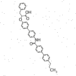 CCCc1ccc(-c2ccc(C(=O)Nc3ccc(-c4ccc(OC(Cc5ccccc5)C(=O)O)cc4)cc3)cc2)cc1